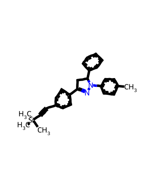 Cc1ccc(N2N=C(c3ccc(C#C[Si](C)(C)C)cc3)CC2c2ccccc2)cc1